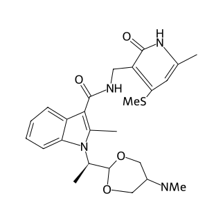 CNC1COC([C@@H](C)n2c(C)c(C(=O)NCc3c(SC)cc(C)[nH]c3=O)c3ccccc32)OC1